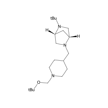 CC(C)(C)OCN1CCC(CN2C[C@H]3C[C@@H]2CN3C(C)(C)C)CC1